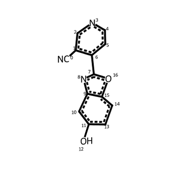 N#Cc1cnccc1-c1nc2cc(O)ccc2o1